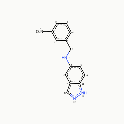 O=[N+]([O-])c1cccc(CNc2ccc3[nH]ncc3c2)c1